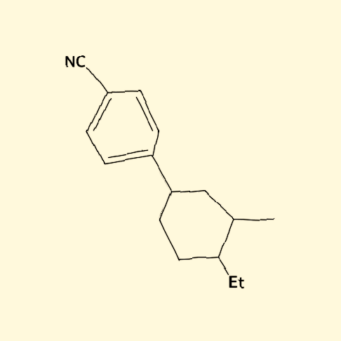 CCC1CCC(c2ccc(C#N)cc2)CC1C